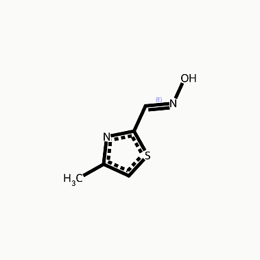 Cc1csc(/C=N/O)n1